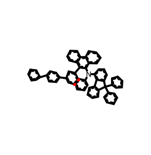 c1ccc(-c2ccc(-c3cccc(-c4c(N(c5ccccc5)c5cccc6c5-c5ccccc5C6(c5ccccc5)c5ccccc5)c5ccccc5c5ccccc45)c3)cc2)cc1